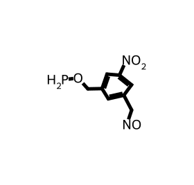 O=NCc1cc(COP)cc([N+](=O)[O-])c1